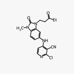 CCC(=O)CCn1c(=O)n(C)c2ccc(Nc3ccnc(Cl)c3C#N)cc21